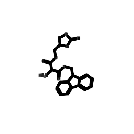 O=C1OCC(COC(=O)C(C(=O)OCC2c3ccccc3-c3ccccc32)S(=O)(=O)O)O1